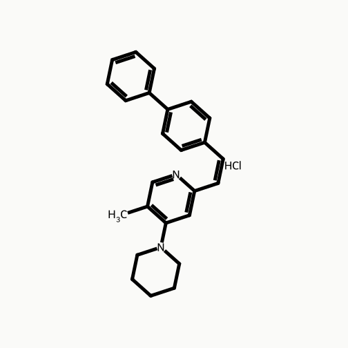 Cc1cnc(/C=C\c2ccc(-c3ccccc3)cc2)cc1N1CCCCC1.Cl